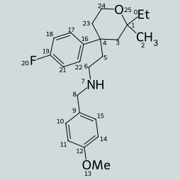 CCC1(C)CC(CCNCc2ccc(OC)cc2)(c2ccc(F)cc2)CCO1